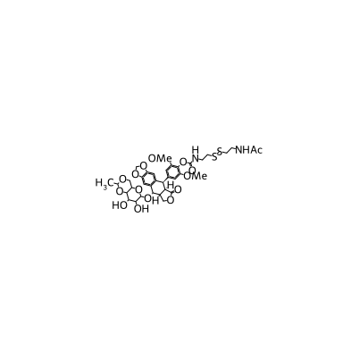 COc1cc([C@@H]2c3cc4c(cc3[C@@H](OC3OC5COC(C)OC5C(O)C3O)[C@H]3COC(=O)[C@H]23)OCO4)cc(OC)c1OC(=O)NCCSSCCNC(C)=O